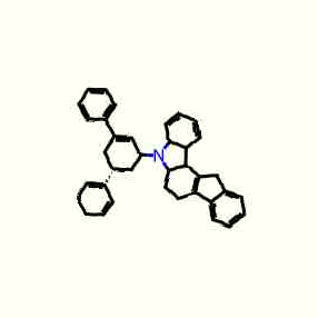 C1=CC2C3C4=C(CCC3N(C3C=C(c5ccccc5)C[C@@H](C5=CCCC=C5)C3)C2C=C1)c1ccccc1C4